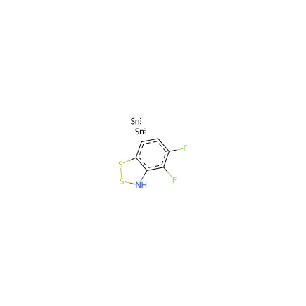 Fc1ccc2c(c1F)NSS2.[Sn].[Sn]